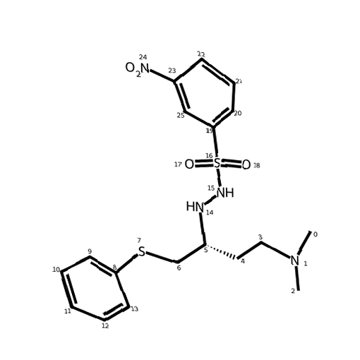 CN(C)CC[C@H](CSc1ccccc1)NNS(=O)(=O)c1cccc([N+](=O)[O-])c1